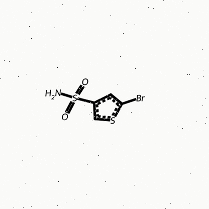 NS(=O)(=O)c1csc(Br)c1